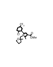 COC(=O)c1cc(-c2cc(C(F)(F)F)ccc2Cl)n(CC2(C)CCCO2)c1C